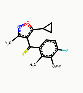 COc1c(F)ccc(C(=S)c2c(C)noc2C2CC2)c1C